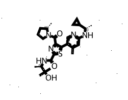 Cc1cc(N[C@@H](C)C2CC2)ncc1-c1sc(C(=O)N[C@H](C)C(C)(C)O)nc1C(=O)N1CCC[C@@H]1C